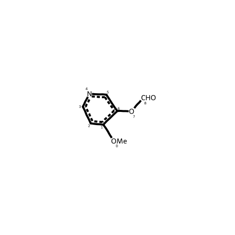 COc1ccncc1OC=O